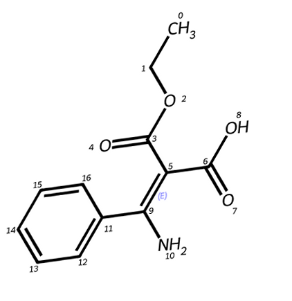 CCOC(=O)/C(C(=O)O)=C(/N)c1ccccc1